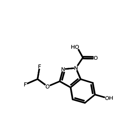 O=C(O)n1nc(OC(F)F)c2ccc(O)cc21